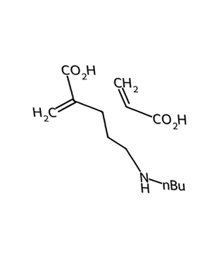 C=C(CCCNCCCC)C(=O)O.C=CC(=O)O